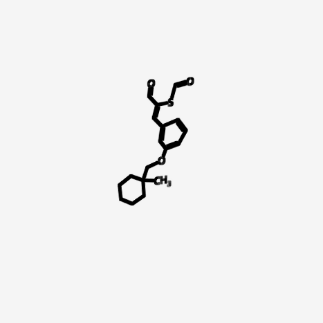 CC1(COc2cccc(/C=C(/C=O)SC=O)c2)CCCCC1